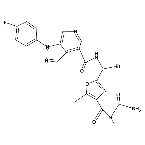 CCC(NC(=O)c1cncc2c1cnn2-c1ccc(F)cc1)c1nc(C(=O)N(C)C(N)=O)c(C)o1